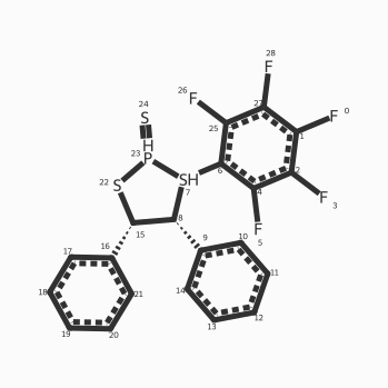 Fc1c(F)c(F)c([SH]2[C@H](c3ccccc3)[C@H](c3ccccc3)S[PH]2=S)c(F)c1F